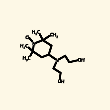 CC1(C)CC(N(CCO)CCO)CC(C)(C)N1Cl